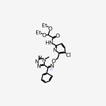 CCOC(OCC)C(=O)Nc1ccc(Cl)c(CO/N=C(/c2ccccc2)c2nnnn2C)n1